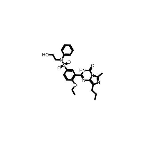 CCCc1nc(C)n2c(=O)[nH]c(-c3cc(S(=O)(=O)N(CCO)c4ccccc4)ccc3OCC)nc12